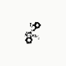 COc1ccccc1CS/C(=N/N)N(N)c1ccccc1